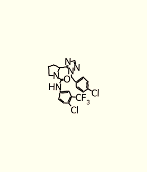 O=C(Nc1ccc(Cl)c(C(F)(F)F)c1)N1CCCC1c1ncnn1Cc1ccc(Cl)cc1